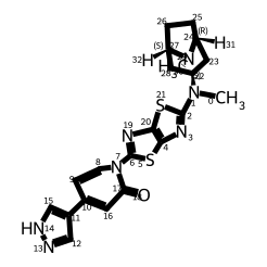 CN(c1nc2sc(-n3ccc(-c4cn[nH]c4)cc3=O)nc2s1)[C@@H]1C[C@H]2CC[C@@H](C1)N2C